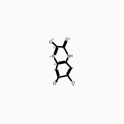 O=c1[nH]c2cc(Cl)c(Cl)cc2nc1Cl